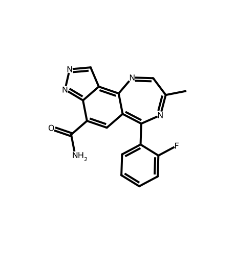 Cc1cnc2c(cc(C(N)=O)c3nncc32)c(-c2ccccc2F)n1